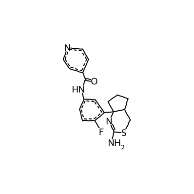 NC1=NC2(c3cc(NC(=O)c4ccncc4)ccc3F)CCCC2CS1